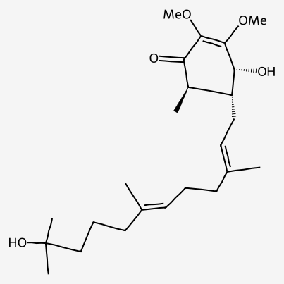 COC1=C(OC)[C@H](O)[C@H](C/C=C(\C)CC/C=C(\C)CCCC(C)(C)O)[C@@H](C)C1=O